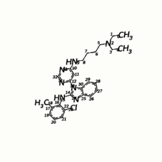 CCN(CC)CCCCNc1cc(-n2c(Nc3c(C)cccc3Cl)nc3ccccc32)ncn1